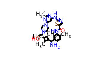 Cc1nc(Nc2ncc(C(=O)Nc3cc(C(N)C4C(C)C(C)C4C)ccc3C)s2)cc(N2CCN(CCO)CC2)n1